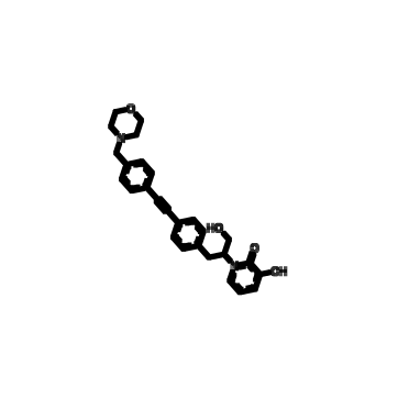 O=c1c(O)cccn1C(CO)Cc1ccc(C#Cc2ccc(CN3CCOCC3)cc2)cc1